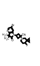 CC1(C)C(=O)N(C2CC(C#N)(N3CCC(F)C4(CC4)C3)C2)c2cc(Br)cnc21